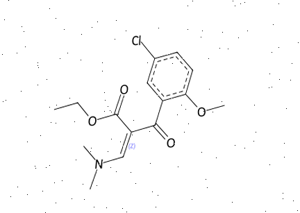 CCOC(=O)/C(=C\N(C)C)C(=O)c1cc(Cl)ccc1OC